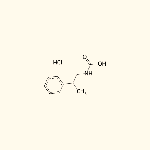 CC(CNC(=O)O)c1ccccc1.Cl